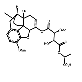 COc1ccc2c3c1OC1C(OC(=O)[C@@H](OC(C)=O)[C@H](O)C(=O)O[C@@H](C)C(=O)O)=CC[C@@]4(O)[C@@H](C2)N(C)CCC314